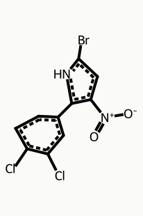 O=[N+]([O-])c1cc(Br)[nH]c1-c1ccc(Cl)c(Cl)c1